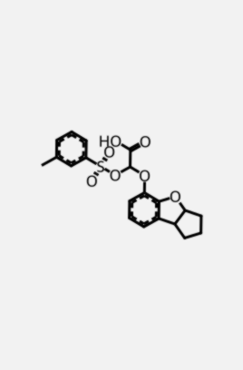 Cc1cccc(S(=O)(=O)OC(Oc2cccc3c2OC2CCCC32)C(=O)O)c1